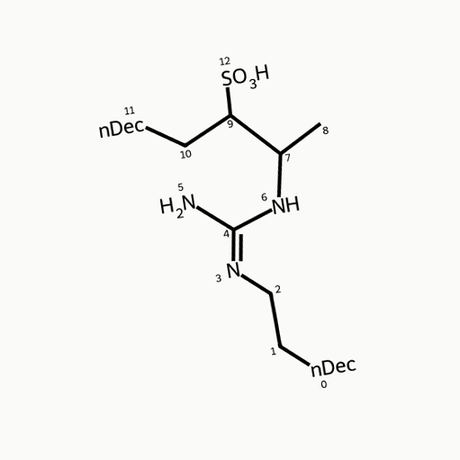 CCCCCCCCCCCCN=C(N)NC(C)C(CCCCCCCCCCC)S(=O)(=O)O